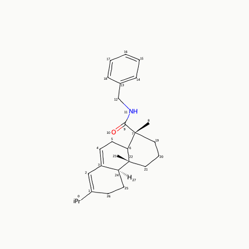 CC(C)C1=CC2=CCC3[C@](C)(C(=O)NCc4ccccc4)CCC[C@]3(C)[C@H]2CC1